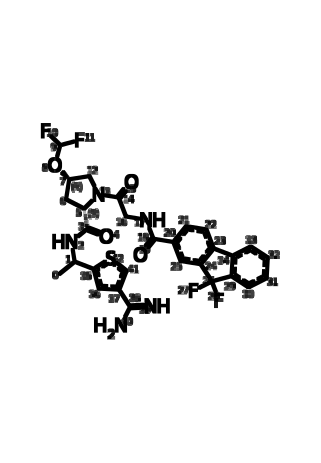 CC(NC(=O)[C@@H]1C[C@@H](OC(F)F)CN1C(=O)CNC(=O)c1ccc2c(c1)C(F)(F)c1ccccc1-2)c1cc(C(=N)N)cs1